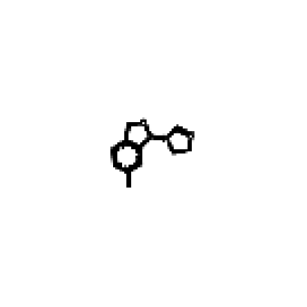 Cc1ccc2c(c1)C(N1C=NCC1)OC2